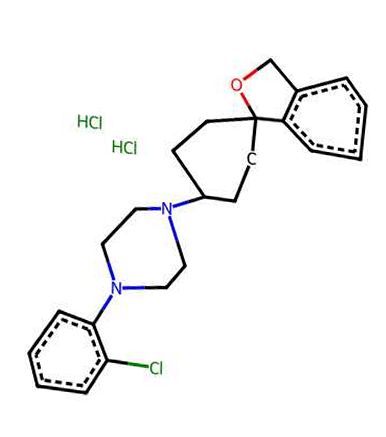 Cl.Cl.Clc1ccccc1N1CCN(C2CCC3(CC2)OCc2ccccc23)CC1